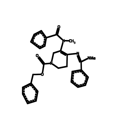 CN/C(=N/C1=C(N(C)C(=O)c2ccccc2)CN(C(=O)OCc2ccccc2)CC1)c1ccccc1